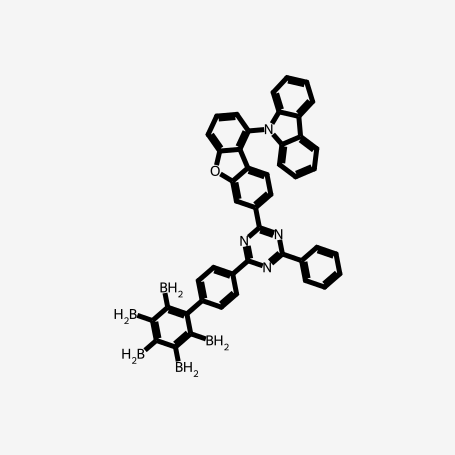 Bc1c(B)c(B)c(-c2ccc(-c3nc(-c4ccccc4)nc(-c4ccc5c(c4)oc4cccc(-n6c7ccccc7c7ccccc76)c45)n3)cc2)c(B)c1B